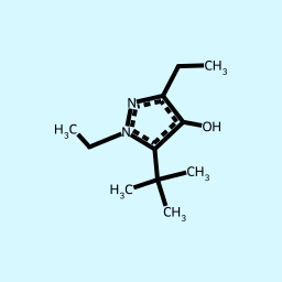 CCc1nn(CC)c(C(C)(C)C)c1O